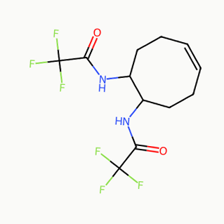 O=C(NC1CC/C=C\CCC1NC(=O)C(F)(F)F)C(F)(F)F